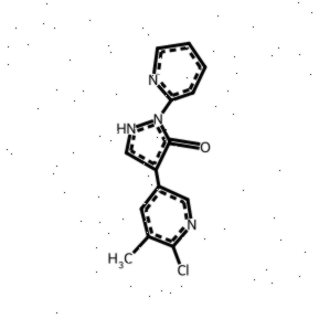 Cc1cc(-c2c[nH]n(-c3ccccn3)c2=O)cnc1Cl